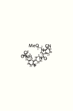 COCCn1cc(C(=O)N2CCC(c3cc(CNC(=O)C(F)(F)F)ccc3F)CC2)c2cccc(C#N)c21